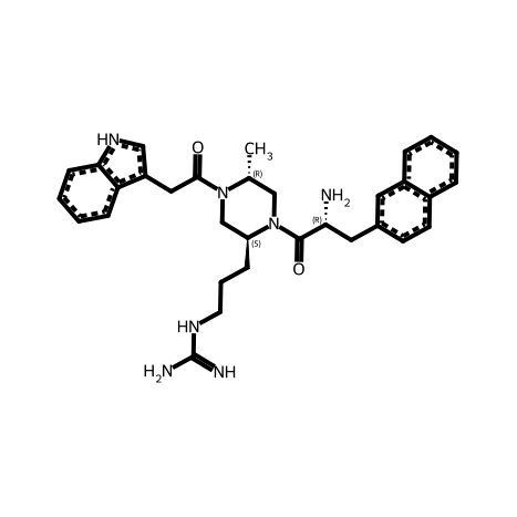 C[C@@H]1CN(C(=O)[C@H](N)Cc2ccc3ccccc3c2)[C@@H](CCCNC(=N)N)CN1C(=O)Cc1c[nH]c2ccccc12